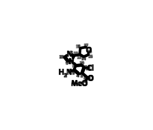 COC(=O)c1cc(N)c(-n2ccnc2C2CCOCC2)cc1Cl